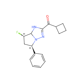 O=C(C1=NN2C(N1)[C@H](F)C[C@@H]2c1ccccc1)C1CCC1